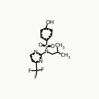 CC(C)CN(c1nccc(C(F)(F)F)n1)S(=O)(=O)c1ccc(O)cc1